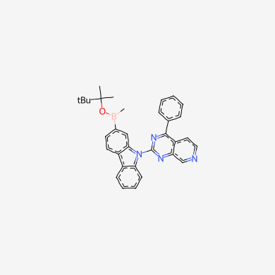 CB(OC(C)(C)C(C)(C)C)c1ccc2c3ccccc3n(-c3nc(-c4ccccc4)c4ccncc4n3)c2c1